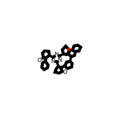 c1ccc(-c2nc(-c3cccc4oc5ccccc5c34)nc(-c3cccc4oc5ccc(-c6ccc7ccccc7c6)cc5c34)n2)cc1